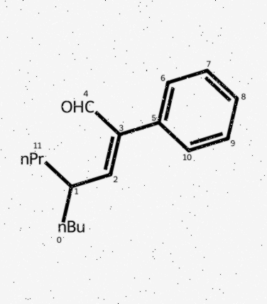 CCCCC(C=C(C=O)c1ccccc1)CCC